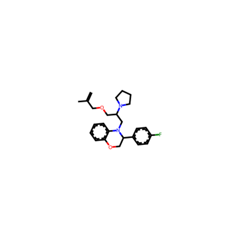 C=C(C)COCC(CN1c2ccccc2OCC1c1ccc(F)cc1)N1CCCC1